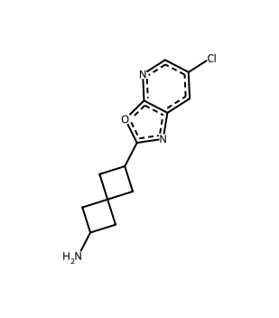 NC1CC2(C1)CC(c1nc3cc(Cl)cnc3o1)C2